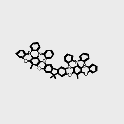 Cc1c2c3c4c5c1Oc1cc6c(cc1B5c1ccccc1N4c1ccccc1B3c1ccccc1O2)-c1cc2c(cc1C6(C)C)Oc1c(C)c3c4c5c1B2c1ccccc1N5c1ccccc1B4c1ccccc1O3